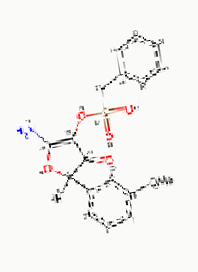 [2H]C1(c2cccc(OC)c2)OC(N)=C(OS(=O)(=O)Cc2ccccc2)C1=O